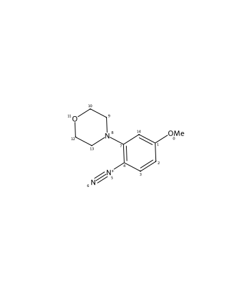 COc1ccc([N+]#N)c(N2CCOCC2)c1